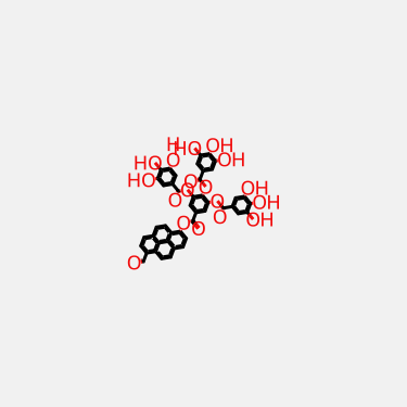 O=Cc1ccc2ccc3c(OC(=O)c4cc(OC(=O)c5cc(O)c(O)c(O)c5)c(OC(=O)c5cc(O)c(O)c(O)c5)c(OC(=O)c5cc(O)c(O)c(O)c5)c4)ccc4ccc1c2c43